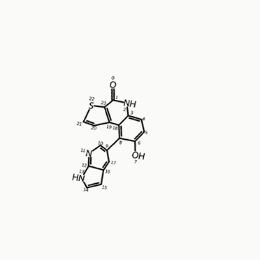 O=c1[nH]c2ccc(O)c(-c3cnc4[nH]ccc4c3)c2c2ccsc12